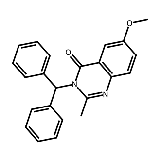 COc1ccc2nc(C)n(C(c3ccccc3)c3ccccc3)c(=O)c2c1